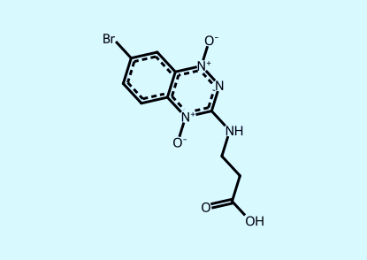 O=C(O)CCNc1n[n+]([O-])c2cc(Br)ccc2[n+]1[O-]